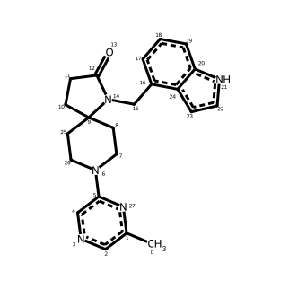 Cc1cncc(N2CCC3(CCC(=O)N3Cc3cccc4[nH]ccc34)CC2)n1